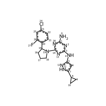 Nc1nc(Nc2cc(C3CC3)[nH]n2)nc(N2CCCC2c2ccc(Cl)cc2F)n1